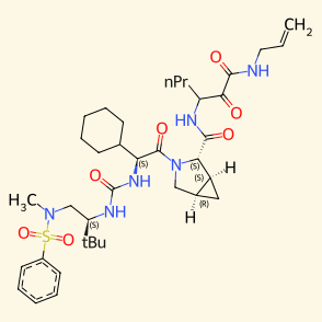 C=CCNC(=O)C(=O)C(CCC)NC(=O)[C@@H]1[C@H]2C[C@H]2CN1C(=O)[C@@H](NC(=O)N[C@H](CN(C)S(=O)(=O)c1ccccc1)C(C)(C)C)C1CCCCC1